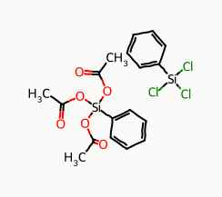 CC(=O)O[Si](OC(C)=O)(OC(C)=O)c1ccccc1.Cl[Si](Cl)(Cl)c1ccccc1